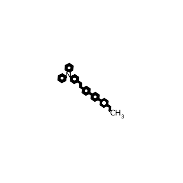 CCCC1CCC(c2ccc(-c3ccc(/C=C/c4ccc(N(c5ccccc5)c5ccccc5)cc4)cc3)cc2)CC1